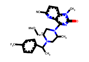 COC[C@@H]1CN(c2nc(=O)n(C)c3ccc(C#N)nc23)C(C)CN1C(C)c1ccc(C(F)(F)F)cc1